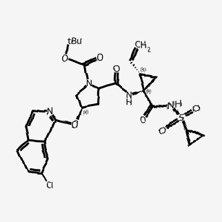 C=C[C@@H]1C[C@]1(NC(=O)C1C[C@@H](Oc2nccc3ccc(Cl)cc23)CN1C(=O)OC(C)(C)C)C(=O)NS(=O)(=O)C1CC1